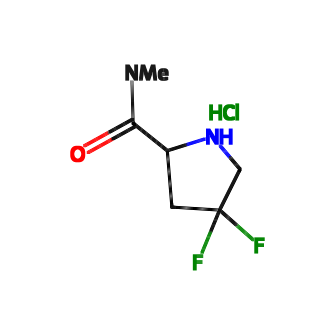 CNC(=O)C1CC(F)(F)CN1.Cl